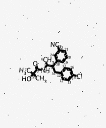 CC(NC(=O)C(C)(C)O)C(Cc1ccc(Cl)cc1)c1cccc(C#N)c1